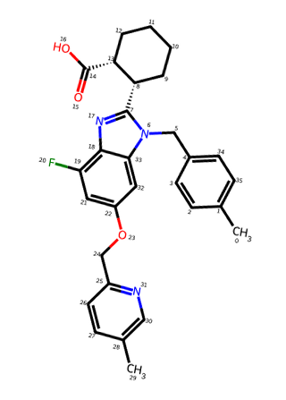 Cc1ccc(Cn2c([C@H]3CCCC[C@H]3C(=O)O)nc3c(F)cc(OCc4ccc(C)cn4)cc32)cc1